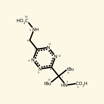 CC(C)(C)C(NC(=O)O)(c1nnc(CNC(=O)O)nn1)C(C)(C)C